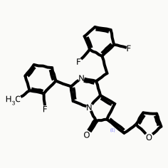 Cc1cccc(C2=CN3C(=O)/C(=C/c4ccco4)C=C3C(Cc3c(F)cccc3F)=N2)c1F